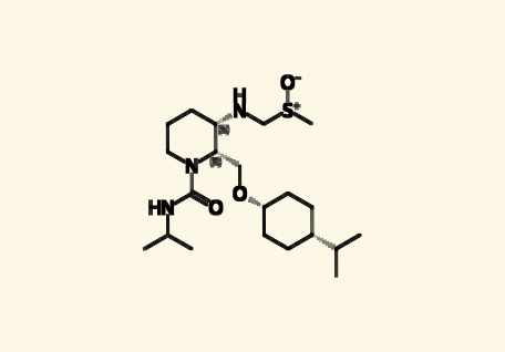 CC(C)NC(=O)N1CCC[C@H](NC[S+](C)[O-])[C@@H]1CO[C@H]1CC[C@@H](C(C)C)CC1